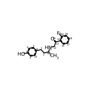 C[C@@H](CCc1ccc(O)cc1)NCC(=O)c1ccccc1F